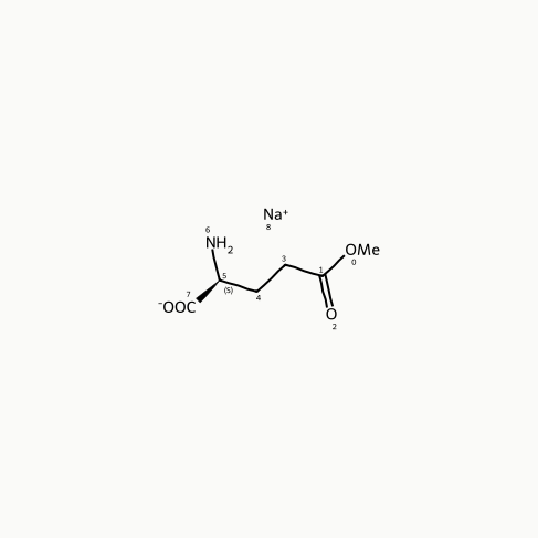 COC(=O)CC[C@H](N)C(=O)[O-].[Na+]